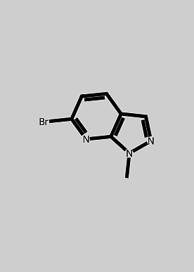 Cn1ncc2ccc(Br)nc21